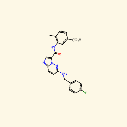 Cc1ccc(C(=O)O)cc1NC(=O)c1cnc2ccc(NCc3ccc(F)cc3)nn12